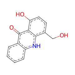 O=c1c2ccccc2[nH]c2c(CO)ccc(O)c12